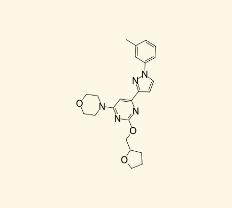 Cc1cccc(-n2ccc(-c3cc(N4CCOCC4)nc(OCC4CCCO4)n3)n2)c1